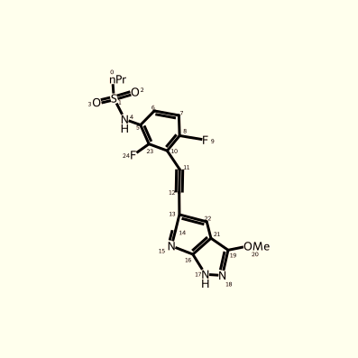 CCCS(=O)(=O)Nc1ccc(F)c(C#Cc2cnc3[nH]nc(OC)c3c2)c1F